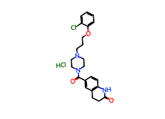 Cl.O=C1CCc2cc(C(=O)N3CCN(CCCOc4ccccc4Cl)CC3)ccc2N1